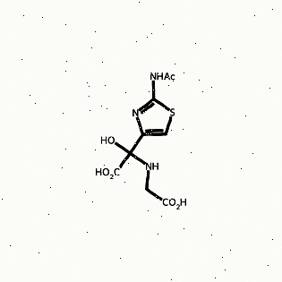 CC(=O)Nc1nc(C(O)(NCC(=O)O)C(=O)O)cs1